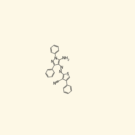 N#Cc1c(-c2ccccc2)csc1/N=N/c1c(-c2ccccc2)nn(-c2ccccc2)c1N